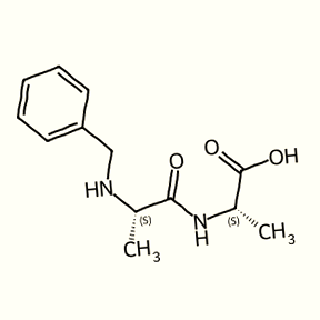 C[C@H](NC(=O)[C@H](C)NCc1ccccc1)C(=O)O